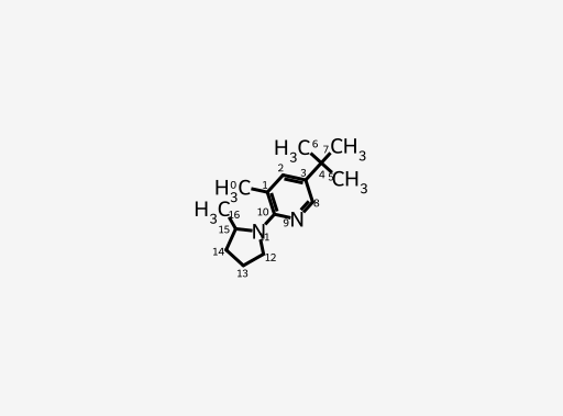 Cc1cc(C(C)(C)C)cnc1N1CCCC1C